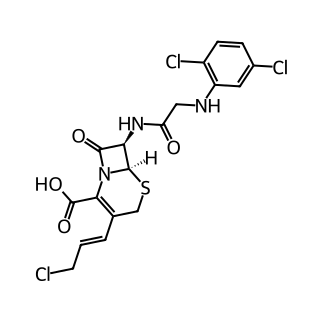 O=C(CNc1cc(Cl)ccc1Cl)N[C@@H]1C(=O)N2C(C(=O)O)=C(C=CCCl)CS[C@H]12